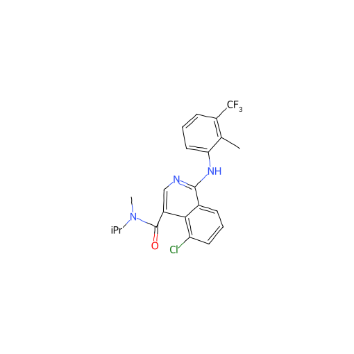 Cc1c(Nc2ncc(C(=O)N(C)C(C)C)c3c(Cl)cccc23)cccc1C(F)(F)F